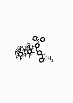 Cc1ccccc1[I+]c1ccc(Cc2ccc([S+](c3ccccc3)c3ccccc3)cc2)cc1.O=S(=O)([O-])c1c(F)c(F)c(F)c(F)c1F.O=S(=O)([O-])c1c(F)c(F)c(F)c(F)c1F